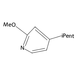 CCCC(C)c1ccnc(OC)c1